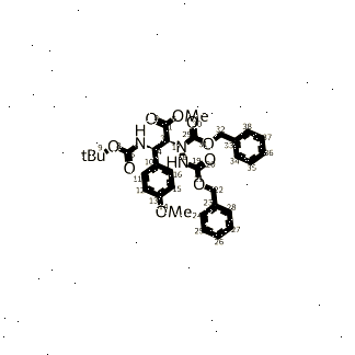 COC(=O)[C@@H]([C@@H](NC(=O)OC(C)(C)C)c1ccc(OC)cc1)N(NC(=O)OCc1ccccc1)C(=O)OCc1ccccc1